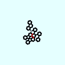 c1ccc(-c2ccccc2-c2ccccc2-c2ccccc2N(c2ccc3c(c2)-c2ccccc2C32c3ccccc3-c3ccccc32)c2cccc3c2ccc2ccccc23)cc1